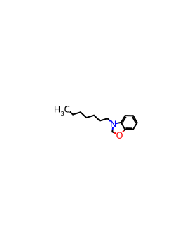 CCCCCCCN1COc2ccccc21